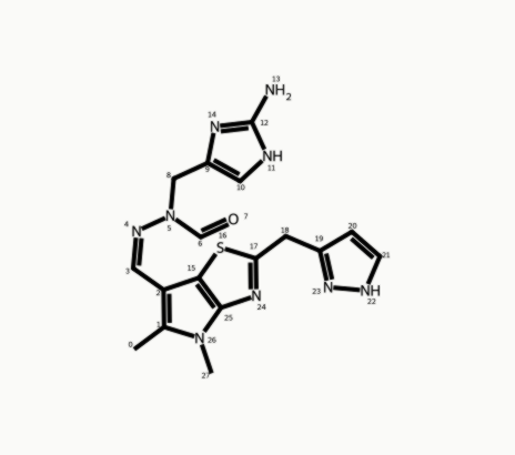 Cc1c(/C=N\N(C=O)Cc2c[nH]c(N)n2)c2sc(Cc3cc[nH]n3)nc2n1C